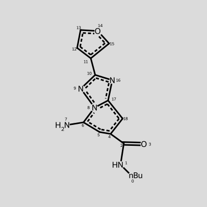 CCCCNC(=O)c1cc(N)n2nc(-c3ccoc3)nc2c1